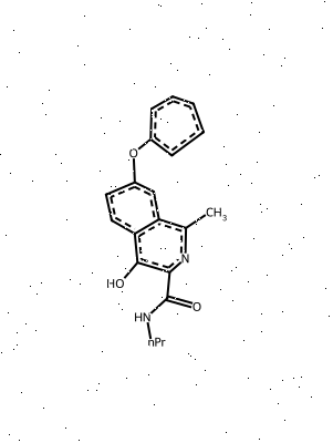 CCCNC(=O)c1nc(C)c2cc(Oc3ccccc3)ccc2c1O